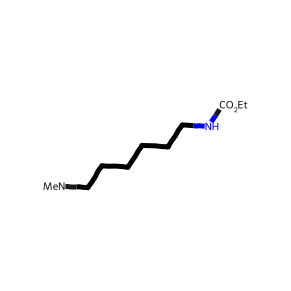 CCOC(=O)NCCCCCCNC